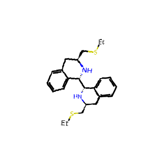 CCSC[C@@H]1Cc2ccccc2[C@@H]([C@H]2N[C@H](CSCC)Cc3ccccc32)N1